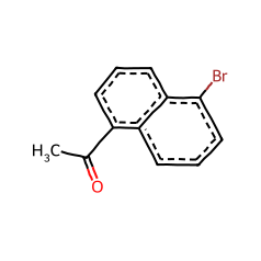 CC(=O)c1cccc2c(Br)cccc12